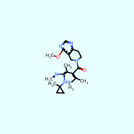 C=N/C(NC1(C)CC1)=C(\C)C(C(=O)N1CCc2ncnc(OC)c2C1)=C(C)C